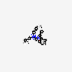 N#Cc1ccc(C2=CC=C(c3nc(-c4ccc(-c5cccc(C#N)c5)cc4)nc(-c4ccc(-c5ccc(C#N)cc5)c(-n5c6ccc(-c7ccccc7)cc6c6cc(-c7ccccc7)ccc65)c4)n3)CC#C2)cc1